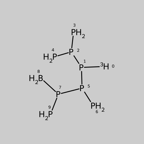 [3H]P(P(P)P)P(P)P(B)P